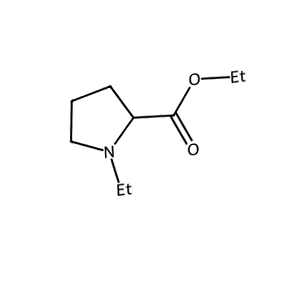 CCOC(=O)C1CCCN1CC